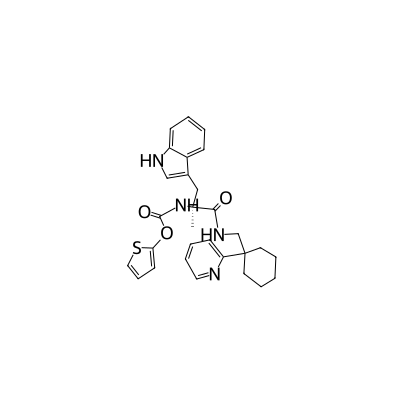 C[C@@](Cc1c[nH]c2ccccc12)(NC(=O)Oc1cccs1)C(=O)NCC1(c2ccccn2)CCCCC1